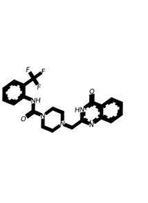 O=C(Nc1ccccc1C(F)(F)F)N1CCN(Cc2nc3ccccc3c(=O)[nH]2)CC1